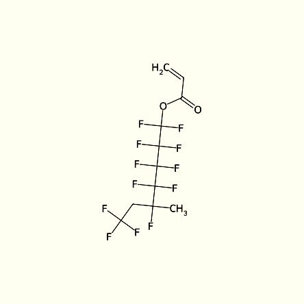 C=CC(=O)OC(F)(F)C(F)(F)C(F)(F)C(F)(F)C(C)(F)CC(F)(F)F